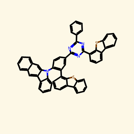 c1ccc(-c2nc(-c3ccc(-n4c5ccccc5c5cc6ccccc6cc54)c(-c4cccc5c4sc4ccccc45)c3)nc(-c3cccc4c3sc3ccccc34)n2)cc1